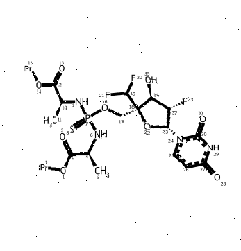 CC(C)OC(=O)[C@H](C)NP(=S)(N[C@@H](C)C(=O)OC(C)C)OC[C@@]1(C(F)F)O[C@@H](n2ccc(=O)[nH]c2=O)[C@@H](F)[C@@H]1O